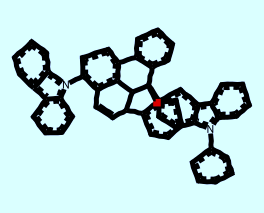 C1=CC2c3ccccc3C3(c4ccc5c(c4)c4ccccc4n5-c4ccccc4)c4ccccc4-c4ccc(-n5c6ccccc6c6ccccc65)c1c4C23